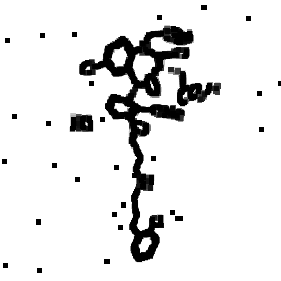 COc1c(OCCCNCCCc2ccccc2Cl)cccc1[C@@H]1O[C@@H](CC(=O)O)C(=O)N(CC(C)(C)C)c2ccc(Cl)cc21.Cl